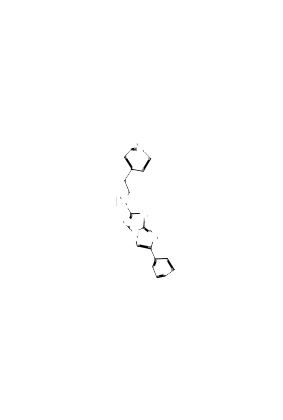 c1ccc(-c2cn3nc(NCCc4ccncc4)sc3n2)cc1